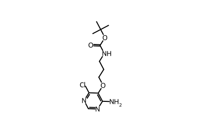 CC(C)(C)OC(=O)NCCCOc1c(N)ncnc1Cl